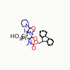 CC(C)[C@@H](C(=O)N(C)[C@@](I)(CC(=O)O)C(=O)N1CCCCC1)N(C)C(=O)OCC1c2ccccc2-c2ccccc21